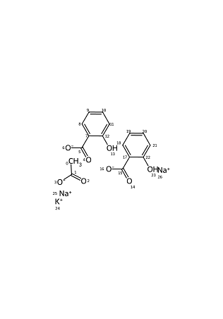 CC(=O)[O-].O=C([O-])c1ccccc1O.O=C([O-])c1ccccc1O.[K+].[Na+].[Na+]